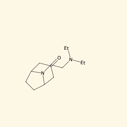 CCN(CC)CCN1C2CCC1CC(=O)C2